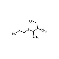 CCC(C)C(C)SCCS